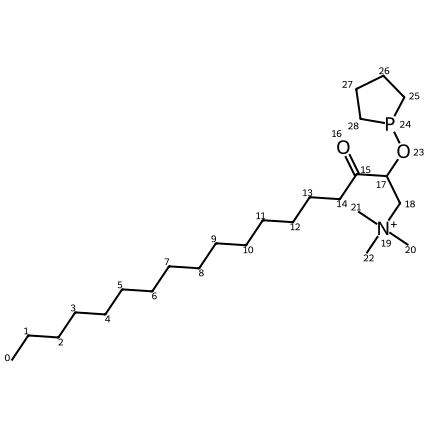 CCCCCCCCCCCCCCCC(=O)C(C[N+](C)(C)C)OP1CCCC1